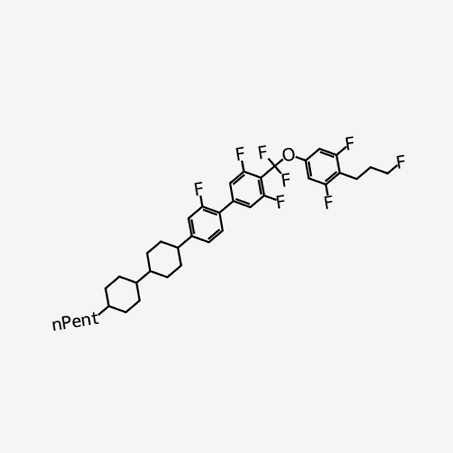 CCCCCC1CCC(C2CCC(c3ccc(-c4cc(F)c(C(F)(F)Oc5cc(F)c(CCCF)c(F)c5)c(F)c4)c(F)c3)CC2)CC1